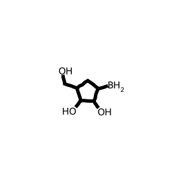 BC1CC(CO)C(O)C1O